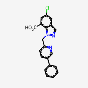 O=C(O)c1cc(Cl)cc2cnn(Cc3ccc(-c4ccccc4)cn3)c12